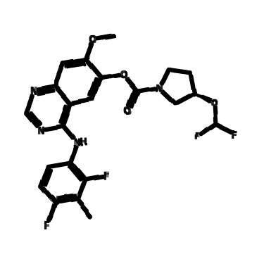 COc1cc2ncnc(Nc3ccc(F)c(C)c3F)c2cc1OC(=O)N1CC[C@@H](OC(F)F)C1